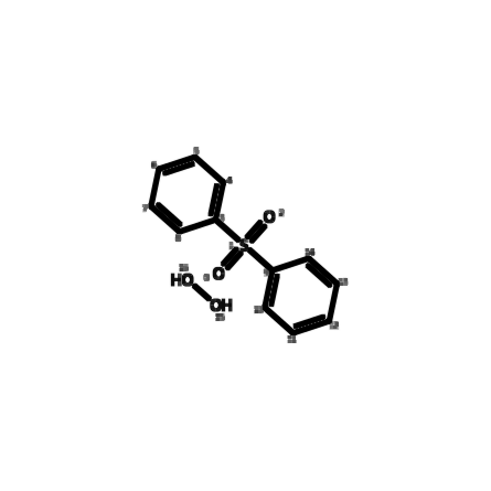 O=S(=O)(c1ccccc1)c1ccccc1.OO